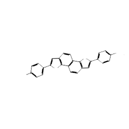 Cc1ccc(-c2cc3ccc4c(ccc5cc(-c6ccc(C)cc6)sc54)c3s2)cc1